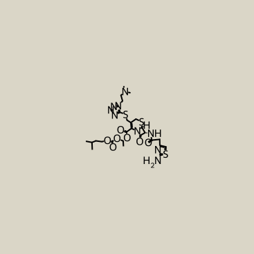 CC(C)CCOC(=O)OC(C)OC(=O)C1=C(CSc2nnnn2CCN(C)C)CS[C@@H]2[C@H](NC(=O)Cc3csc(N)n3)C(=O)N12